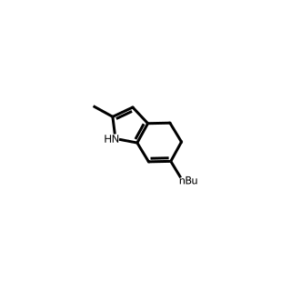 CCCCC1=Cc2[nH]c(C)cc2CC1